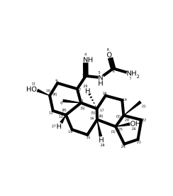 C[C@]12C(C(=N)NC(N)=O)C[C@H](O)C[C@H]1CC[C@@H]1[C@@H]2CC[C@]2(C)CCC[C@]12O